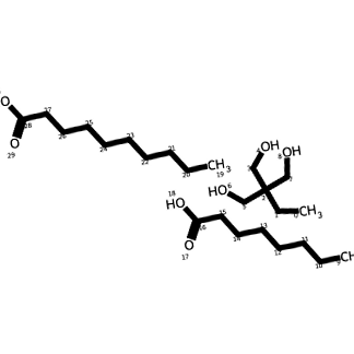 CCC(CO)(CO)CO.CCCCCCCC(=O)O.CCCCCCCCCC(=O)O